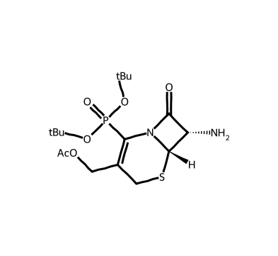 CC(=O)OCC1=C(P(=O)(OC(C)(C)C)OC(C)(C)C)N2C(=O)[C@H](N)[C@@H]2SC1